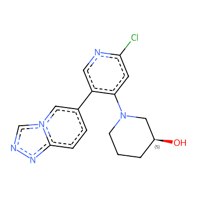 O[C@H]1CCCN(c2cc(Cl)ncc2-c2ccc3nncn3c2)C1